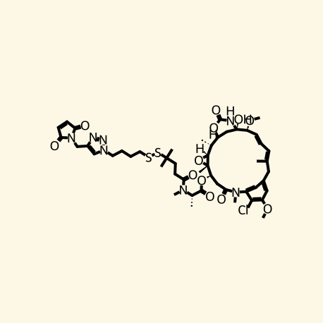 COc1cc2cc(c1Cl)N(C)C(=O)C[C@H](OC(=O)[C@H](C)N(C)C(=O)CCC(C)(C)SSCCCCn1cc(CN3C(=O)C=CC3=O)nn1)[C@]1(C)O[C@H]1[C@H](C)[C@@H]1C[C@@](O)(NC(=O)O1)[C@H](OC)/C=C/C=C(\C)C2